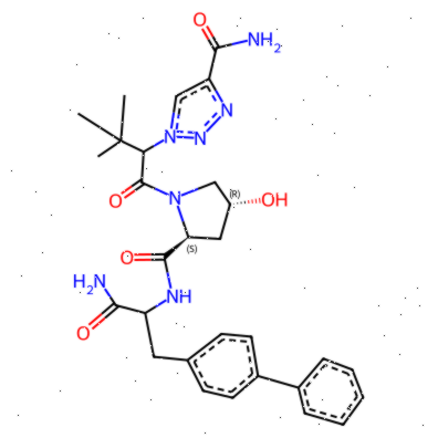 CC(C)(C)C(C(=O)N1C[C@H](O)C[C@H]1C(=O)NC(Cc1ccc(-c2ccccc2)cc1)C(N)=O)n1cc(C(N)=O)nn1